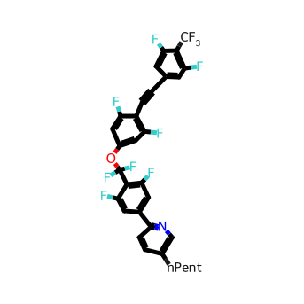 CCCCCc1ccc(-c2cc(F)c(C(F)(F)Oc3cc(F)c(C#Cc4cc(F)c(C(F)(F)F)c(F)c4)c(F)c3)c(F)c2)nc1